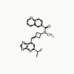 CN(C(=O)c1ccc2ncccc2c1)C1CC(=Cc2cc(C(F)F)nc3ncnn23)C1